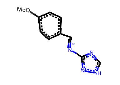 COc1ccc(/C=N/c2nc[nH]n2)cc1